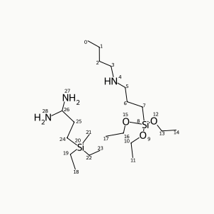 CCCCNCCC[Si](OCC)(OCC)OCC.CC[Si](C)(CC)CCC(N)N